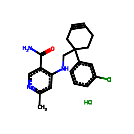 Cc1cc(NCC2(c3cccc(Cl)c3)CC#CCC2)c(C(N)=O)cn1.Cl